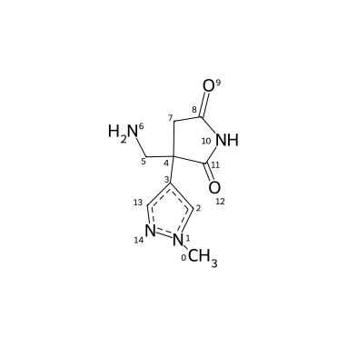 Cn1cc(C2(CN)CC(=O)NC2=O)cn1